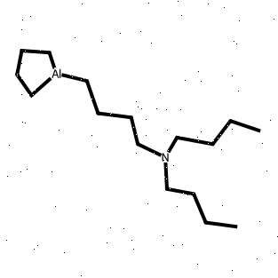 CCCCN(CCCC)CCC[CH2][Al]1[CH2]CC[CH2]1